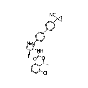 C[C@@H](OC(=O)Nc1c(F)cnn1-c1ccc(-c2ccc(C3(C#N)CC3)cc2)cc1)c1ccccc1Cl